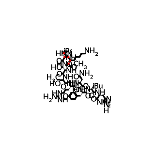 CC[C@H](C)[C@H](NC(=O)[C@H](Cc1ccc(O)cc1)NC(=O)[C@H](CC(N)=O)NC(=O)[C@H](CCCNC(=N)N)NC(=O)[C@@H](NC(=O)[C@H](CO)NC(=O)[C@H](Cc1c[nH]cn1)NC(=O)[C@H](CC(C)C)NC(=O)[C@@H](C)CCCCN)[C@@H](C)O)C(=O)N[C@@H](Cc1c[nH]cn1)C(N)=O